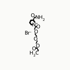 C=CC(=O)OCCOCCOCC(=O)[n+]1cccc(C(N)=O)c1.[Br-]